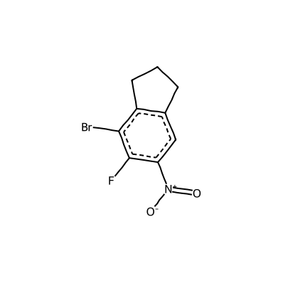 O=[N+]([O-])c1cc2c(c(Br)c1F)CCC2